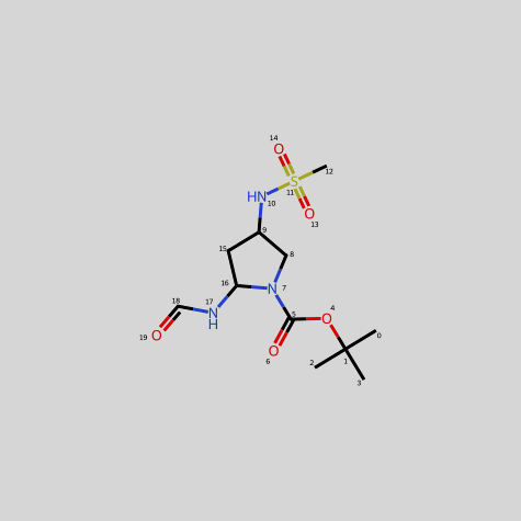 CC(C)(C)OC(=O)N1CC(NS(C)(=O)=O)CC1NC=O